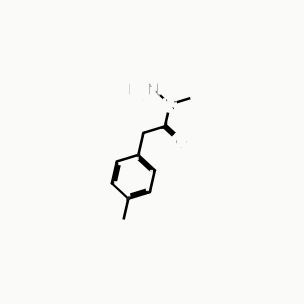 Cc1ccc(CC(=O)N(C)N)cc1